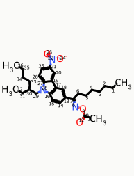 CCCCCCC/C(=N\OC(C)=O)c1ccc2c(c1)c1cc([N+](=O)[O-])ccc1n2CC(CC)CCCC